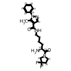 Cc1c(C(=O)NCCCC[C@H](N)C(=O)N2CCC(F)(F)C2)cnn1-c1ccccc1